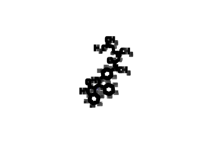 CN(C)CCN(C)CC(=O)N(C)c1ccc(N/C(=C2\C(=O)Nc3ccccc32)c2ccccc2)cc1